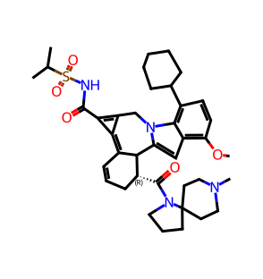 COc1ccc(C2CCCCC2)c2c1cc1n2CC2=C(C(=O)NS(=O)(=O)C(C)C)C2=C2C=CC[C@@H](C(=O)N3CCCC34CCN(C)CC4)C21